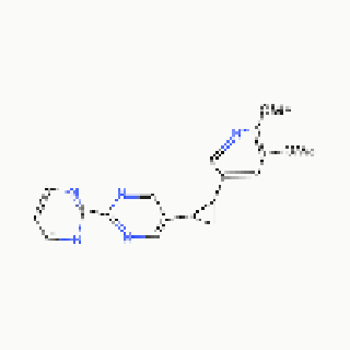 COc1cc(C2CC2c2cnc(-c3ncccn3)nc2)cnc1OC